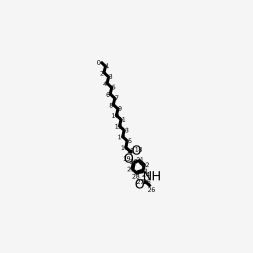 CCCCCCCCCCCCCCCCCC(=O)Oc1ccc(NC(C)=O)cc1